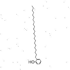 CCCCCCCCCCCCCCCCCCCCCCCc1ccccc1O